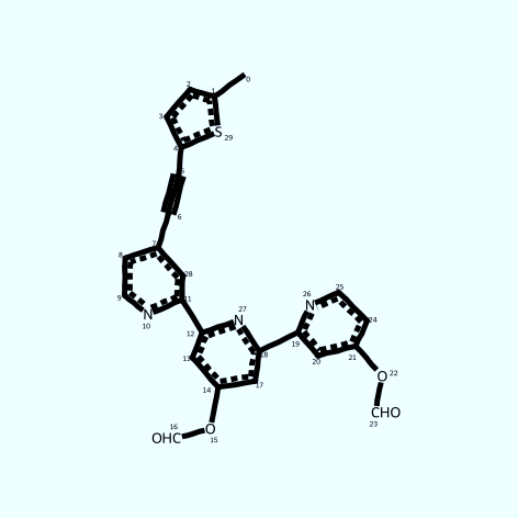 Cc1ccc(C#Cc2ccnc(-c3cc(OC=O)cc(-c4cc(OC=O)ccn4)n3)c2)s1